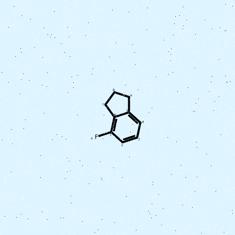 Fc1cccc2c1[CH]CC2